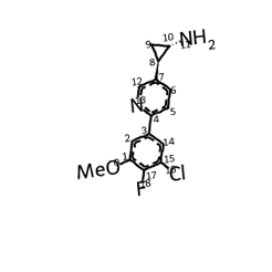 COc1cc(-c2ccc([C@H]3C[C@@H]3N)cn2)cc(Cl)c1F